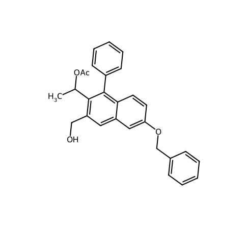 CC(=O)OC(C)c1c(CO)cc2cc(OCc3ccccc3)ccc2c1-c1ccccc1